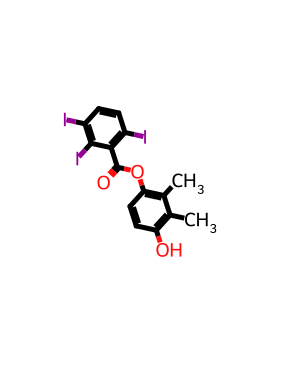 Cc1c(O)ccc(OC(=O)c2c(I)ccc(I)c2I)c1C